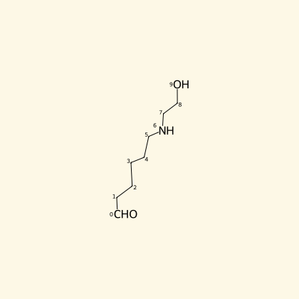 O=CCCCCCNCCO